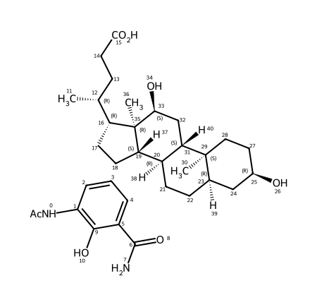 CC(=O)Nc1cccc(C(N)=O)c1O.C[C@H](CCC(=O)O)[C@H]1CC[C@H]2[C@@H]3CC[C@@H]4C[C@H](O)CC[C@]4(C)[C@H]3C[C@H](O)[C@]12C